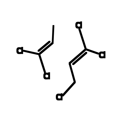 CC=C(Cl)Cl.ClCC=C(Cl)Cl